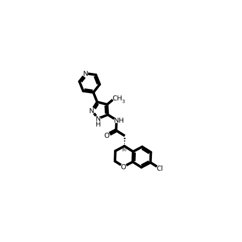 Cc1c(-c2ccncc2)n[nH]c1NC(=O)C[C@H]1CCOc2cc(Cl)ccc21